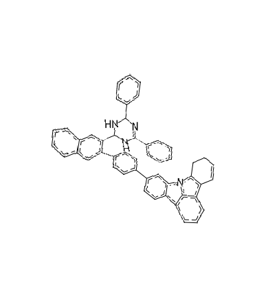 C1=Cc2c(n3c4cc(-c5ccc(-c6cc7ccccc7cc6C6NC(c7ccccc7)=NC(c7ccccc7)N6)cc5)ccc4c4cccc2c43)CC1